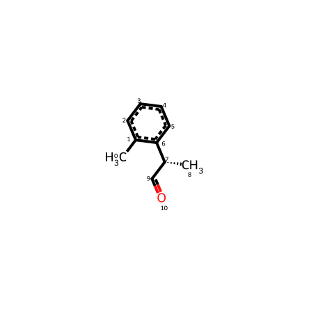 Cc1ccccc1[C@H](C)C=O